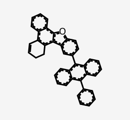 C1=Cc2c(c3c4cc(-c5c6ccccc6c(-c6ccccc6)c6ccccc56)ccc4oc3c3ccccc23)CC1